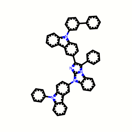 c1ccc(-c2cccc(-n3c4ccccc4c4cc(-c5nc6n(-c7ccc8c(c7)c7ccccc7n8-c7ccccc7)c7ccccc7n6c5-c5ccccc5)ccc43)c2)cc1